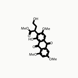 COC(=O)C(CCO)c1c(OC)cc2c(c1O)C(=O)c1c(OC)cc(OC)cc1C2=O